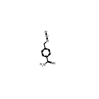 [N-]=[N+]=NCc1ccc(C(=N)N)cc1